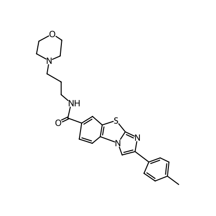 Cc1ccc(-c2cn3c(n2)sc2cc(C(=O)NCCCN4CCOCC4)ccc23)cc1